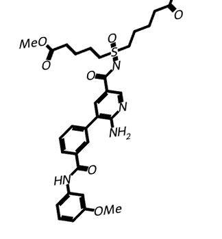 COC(=O)CCCCS(=O)(CCCCC(=O)OC)=NC(=O)c1cnc(N)c(-c2cccc(C(=O)Nc3cccc(OC)c3)c2)c1